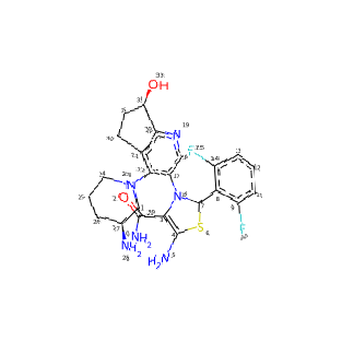 NC(=O)C1=C(N)SC(c2c(F)cccc2F)N1c1cnc2c(c1N1CCC[C@H](N)C1)CC[C@H]2O